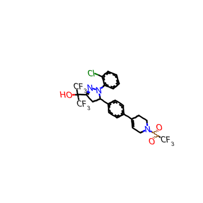 O=S(=O)(N1CC=C(c2ccc(C3CC(C(O)(C(F)(F)F)C(F)(F)F)=NN3c3ccccc3Cl)cc2)CC1)C(F)(F)F